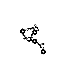 COCCCN1C(=O)COc2ccc(COC3CN(C(=O)OCc4ccccc4)CCC3c3ccc(OC[C@H](O)COc4ccccc4)cc3)cc21